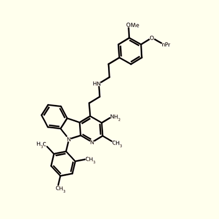 CCCOc1ccc(CCNCCc2c(N)c(C)nc3c2c2ccccc2n3-c2c(C)cc(C)cc2C)cc1OC